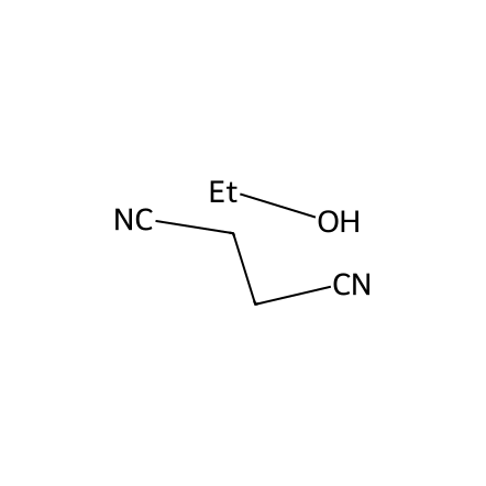 CCO.N#CCCC#N